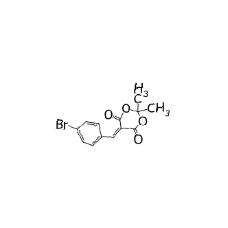 CC1(C)OC(=O)C(=Cc2ccc(Br)cc2)C(=O)O1